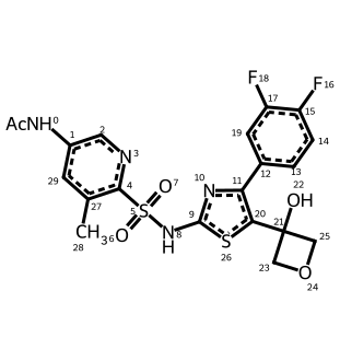 CC(=O)Nc1cnc(S(=O)(=O)Nc2nc(-c3ccc(F)c(F)c3)c(C3(O)COC3)s2)c(C)c1